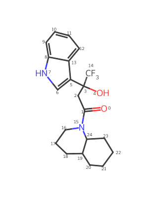 O=C(CC(O)(c1c[nH]c2ccccc12)C(F)(F)F)N1CCCC2CCCCC21